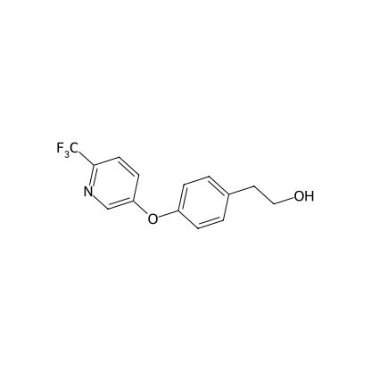 OCCc1ccc(Oc2ccc(C(F)(F)F)nc2)cc1